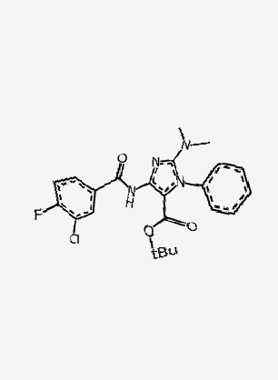 CN(C)c1nc(NC(=O)c2ccc(F)c(Cl)c2)c(C(=O)OC(C)(C)C)n1-c1ccccc1